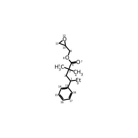 CCC(CC(C)(C)C(=O)OCC1CO1)c1ccccc1